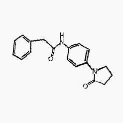 O=C(Cc1ccccc1)Nc1ccc(N2CCCC2=O)cc1